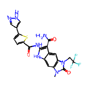 Cn1c(=O)n(CC(F)(F)F)c2cc3c(C(N)=O)c(NC(=O)c4ccc(-c5cn[nH]c5)s4)[nH]c3cc21